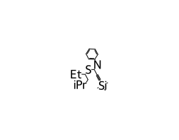 CCC(CC(C)C)SC(C#C[Si](C)(C)C)=Nc1ccccc1